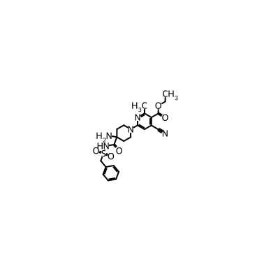 CCOC(=O)c1c(C#N)cc(N2CCC(N)(C(=O)NS(=O)(=O)Cc3ccccc3)CC2)nc1C